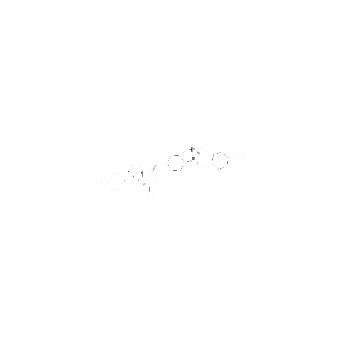 NC1(CN2C(=O)S/C(=C\c3ccc4c(cnn4Cc4ccc(Cl)cc4C(F)(F)F)c3)C2=O)CCOCC1